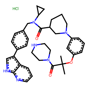 CC(C)(Oc1cccc(N2CCCC(C(=O)N(Cc3ccc(-c4c[nH]c5ncccc45)cc3)C3CC3)C2)c1)C(=O)N1CCNCC1.Cl